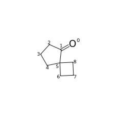 O=C1CCCC12CCC2